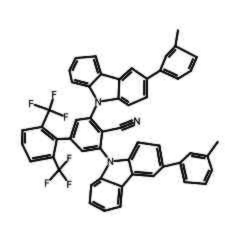 Cc1cccc(-c2ccc3c(c2)c2ccccc2n3-c2cc(-c3c(C(F)(F)F)cccc3C(F)(F)F)cc(-n3c4ccccc4c4cc(-c5cccc(C)c5)ccc43)c2C#N)c1